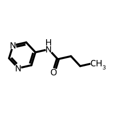 CCCC(=O)Nc1cncnc1